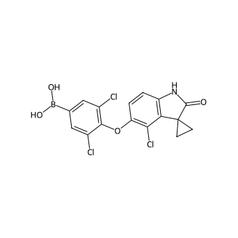 O=C1Nc2ccc(Oc3c(Cl)cc(B(O)O)cc3Cl)c(Cl)c2C12CC2